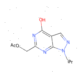 CC(=O)OCc1nc(O)c2cnn(C(C)C)c2n1